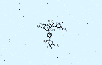 C=C(N1CC(CC)(CC(C)/C=N/C)C1)N(CC)CC(C)(O)c1ccc(N(C)CC(C)C(F)(F)F)cc1